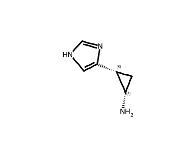 N[C@H]1C[C@H]1c1c[nH]cn1